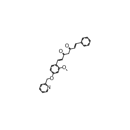 COc1cc(OCc2ccccn2)ccc1/C=C/C(=O)CC(=O)/C=C/c1ccccc1